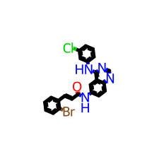 O=C(C=Cc1ccccc1Br)Nc1ccc2ncnc(Nc3cccc(Cl)c3)c2c1